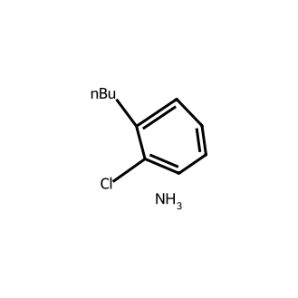 CCCCc1ccccc1Cl.N